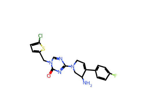 NC1CN(c2ncn(Cc3ccc(Cl)s3)c(=O)n2)CC=C1c1ccc(F)cc1